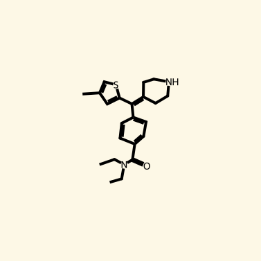 CCN(CC)C(=O)c1ccc(C(=C2CCNCC2)c2cc(C)cs2)cc1